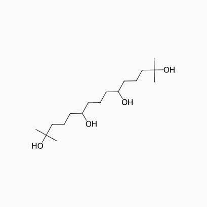 CC(C)(O)CCCC(O)CCCC(O)CCCC(C)(C)O